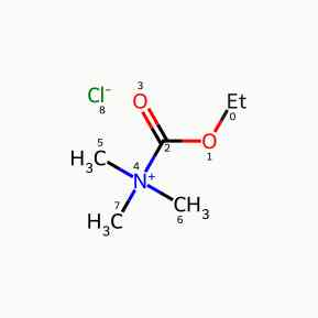 CCOC(=O)[N+](C)(C)C.[Cl-]